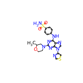 CC1CN(c2nc(Nc3ccc(S(N)(=O)=O)cc3)c3ncn(-c4cscn4)c3n2)CCO1